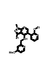 CCOc1ncccc1-c1cnc2c(c(C(C)C)nn2C)c1NCc1cc(OC)ccn1